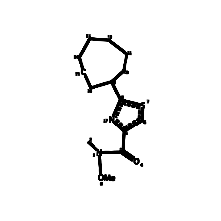 CON(C)C(=O)c1csc(C2CCCCCCC2)n1